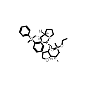 CCOP(C)(=O)C[C@H](C)[C@H]1OCCC1OP1O[C@H](C[Si](C)(c2ccccc2)c2ccccc2)[C@@H]2CCCN21